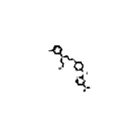 Cc1cccc(N(CCC#N)CCNC2CCC(Nc3nccc(N(C)C)n3)CC2)c1